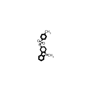 Cc1ccc(S(=O)(=O)OC2CCc3c(c4ccccc4n3C)C2)cc1